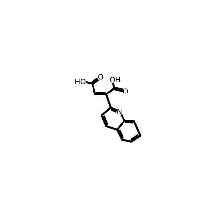 O=C(O)/C=C(\C(=O)O)c1ccc2ccccc2n1